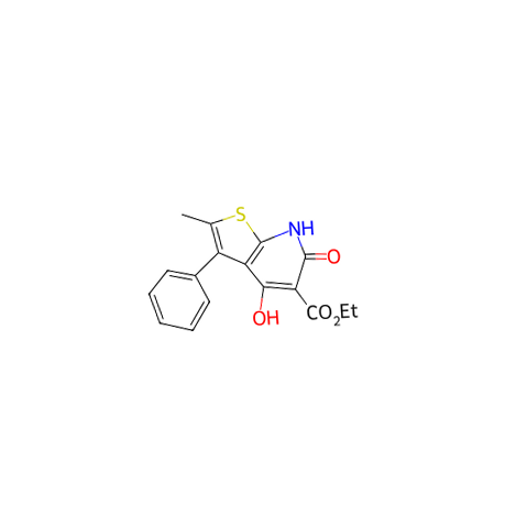 CCOC(=O)c1c(O)c2c(-c3ccccc3)c(C)sc2[nH]c1=O